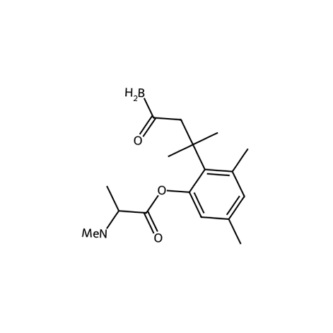 BC(=O)CC(C)(C)c1c(C)cc(C)cc1OC(=O)C(C)NC